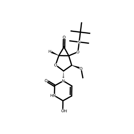 CO[C@H]1[C@H](N2C=CC(O)NC2=O)O[C@@H]2C(=O)C21O[Si](C)(C)C(C)(C)C